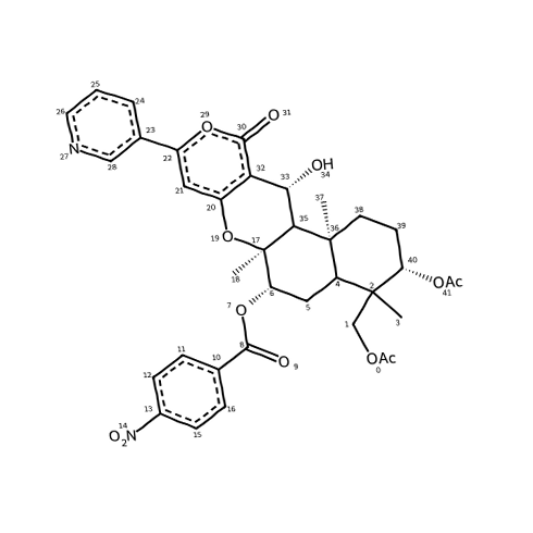 CC(=O)OCC1(C)C2C[C@H](OC(=O)c3ccc([N+](=O)[O-])cc3)[C@@]3(C)Oc4cc(-c5cccnc5)oc(=O)c4[C@H](O)C3[C@@]2(C)CC[C@@H]1OC(C)=O